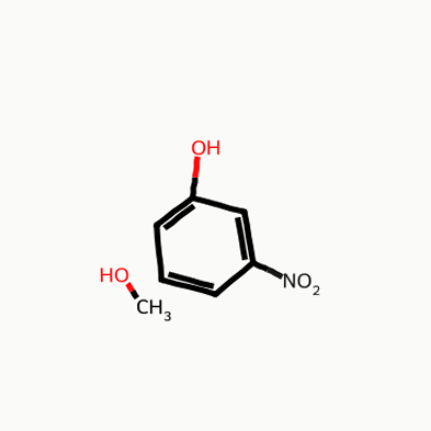 CO.O=[N+]([O-])c1cccc(O)c1